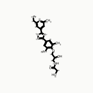 CCCc1cc(-c2noc(-c3cc(C)nc(CC(C)C)c3)n2)cc(C)c1OCC(O)CNC(=O)CO